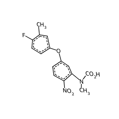 Cc1cc(Oc2ccc([N+](=O)[O-])c(N(C)C(=O)O)c2)ccc1F